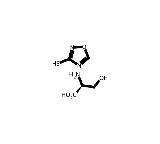 N[C@@H](CO)C(=O)O.Sc1ncon1